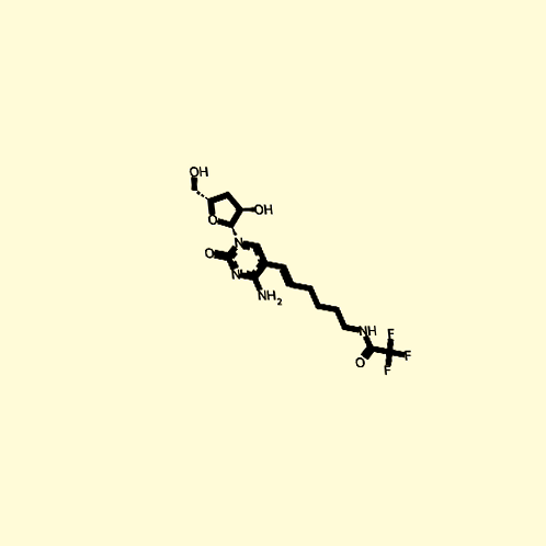 Nc1nc(=O)n([C@@H]2O[C@H](CO)C[C@H]2O)cc1C=CCCCCNC(=O)C(F)(F)F